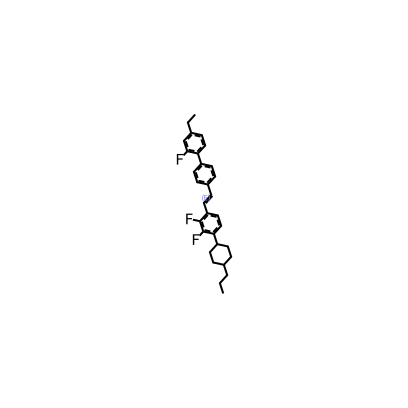 CCCC1CCC(c2ccc(/C=C/c3ccc(-c4ccc(CC)cc4F)cc3)c(F)c2F)CC1